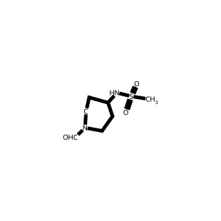 CS(=O)(=O)NC1CCN(C=O)CC1